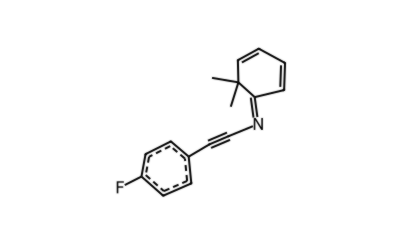 CC1(C)C=CC=C/C1=N/C#Cc1ccc(F)cc1